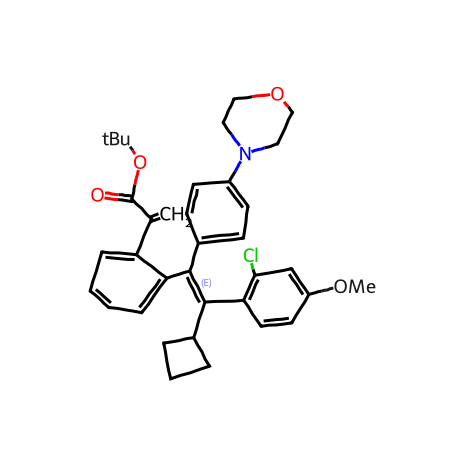 C=C(C(=O)OC(C)(C)C)c1ccccc1/C(=C(/c1ccc(OC)cc1Cl)C1CCC1)c1ccc(N2CCOCC2)cc1